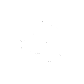 CO[Si](C)(CCCCC(CCCC[Si](C)(OC)OC)(CCCC[Si](C)(OC)OC)CCCC[Si](C)(OC)OC)OC